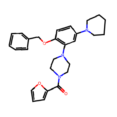 O=C(c1ccco1)N1CCN(c2cc(N3CCCCC3)ccc2OCc2ccccc2)CC1